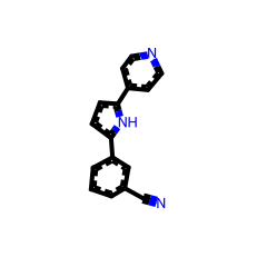 N#Cc1cccc(-c2ccc(-c3ccncc3)[nH]2)c1